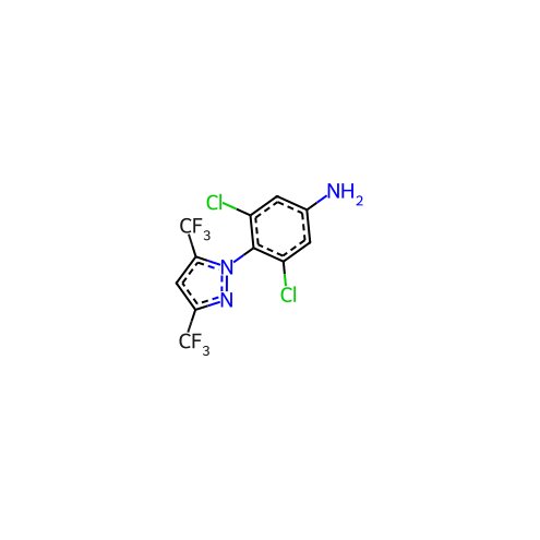 Nc1cc(Cl)c(-n2nc(C(F)(F)F)cc2C(F)(F)F)c(Cl)c1